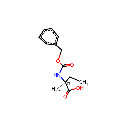 CC[C@](C)(NC(=O)OCc1ccccc1)C(=O)O